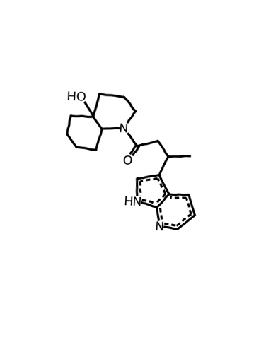 CC(CC(=O)N1CCCC2(O)CCCCC12)c1c[nH]c2ncccc12